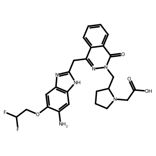 Nc1cc2[nH]c(Cc3nn(CC4CCCN4CC(=O)O)c(=O)c4ccccc34)nc2cc1OCC(F)F